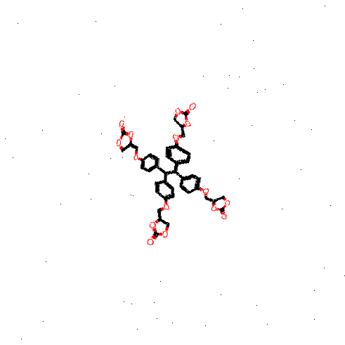 O=C1OCC(COc2ccc(C(c3ccc(OCC4COC(=O)O4)cc3)C(c3ccc(OCC4COC(=O)O4)cc3)c3ccc(OCC4COC(=O)O4)cc3)cc2)O1